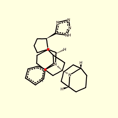 c1ccc(N(CN2CCC[C@H]2c2nnn[nH]2)[C@H]2C[C@H]3CCC[C@@H](C2)N3[C@H]2C[C@@H]3CCC[C@@H](C3)C2)cc1